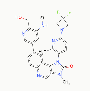 CCNc1cc(-c2ccc3ncc4c(c3c2)n(-c2ccc(N3CC(F)(F)C3)nc2C)c(=O)n4C)cnc1CO